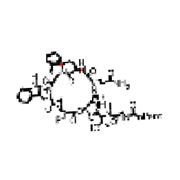 CCCCCC(=O)NCC(=O)N[C@H](C(=O)N[C@@H]1C(=O)N[C@@H](CCC(N)=O)C(=O)N[C@H]2CC[C@@H](O)N(C2=O)[C@@H](Cc2ccccc2)C(=O)N(C)[C@@H](Cc2c[nH]c3ccccc23)C(=O)N[C@@H](C(C)C)C(=O)O[C@@H]1C)[C@@H](C)O